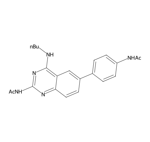 CCCCNc1nc(NC(C)=O)nc2ccc(-c3ccc(NC(C)=O)cc3)cc12